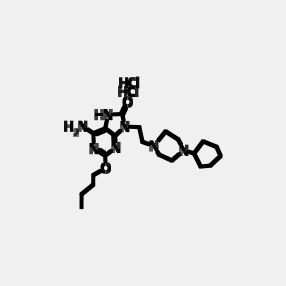 CCCCOc1nc(N)c2[nH]c(=O)n(CCN3CCN(C4CCCCC4)CC3)c2n1.Cl.Cl